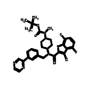 CN(C(=O)OC(C)(C)C)C1CCC(N(Cc2cccc(-c3cnccn3)c2)C(=O)c2sc3c(F)ccc(F)c3c2Cl)CC1